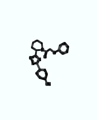 O=C(COc1ccccc1)N1CCCCC1c1nc(-c2ccc(O)cc2)no1